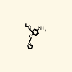 CCOCc1cc(N)ccc1OCCN1CCCC1